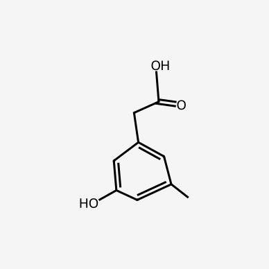 Cc1cc(O)cc(CC(=O)O)c1